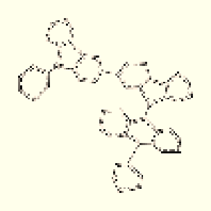 c1ccc(-c2c3ccccc3c(-n3c4ccccc4c4ccc(-c5ccc6c(c5)c5ccccc5n6-c5ccccc5)cc43)c3ccccc23)cc1